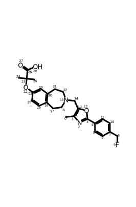 Cc1nc(-c2ccc(CF)cc2)oc1CN1CCc2ccc(OC(C)(C)C(=O)O)cc2CC1